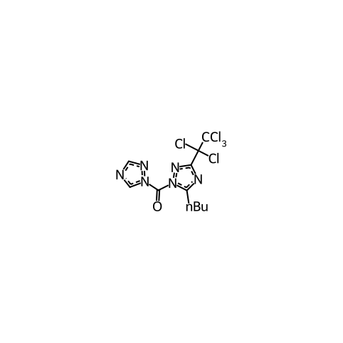 CCCCc1nc(C(Cl)(Cl)C(Cl)(Cl)Cl)nn1C(=O)n1cncn1